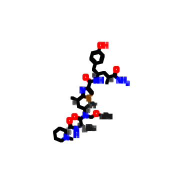 CCCCOCN(C(=O)[C@@H](NC(=O)[C@H]1CCCCN1C)[C@@H](C)CC)[C@@H](C[C@@H](C)c1nc(C(=O)N[C@@H](Cc2ccc(O)cc2)C[C@H](C)C(N)=O)cs1)C(C)C